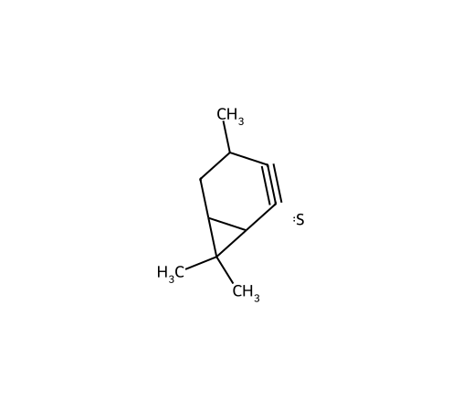 CC1C#CC2C(C1)C2(C)C.[S]